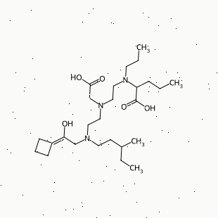 CCCC(C(=O)O)N(CCC)CCN(CCN(CCC(C)CC)CC(O)=C1CCC1)CC(=O)O